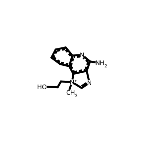 C[N+]1(CCO)C=Nc2c(N)nc3ccccc3c21